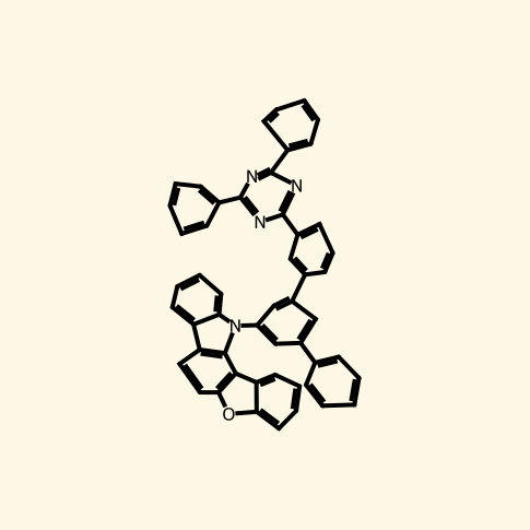 c1ccc(-c2cc(-c3cccc(-c4nc(-c5ccccc5)nc(-c5ccccc5)n4)c3)cc(-n3c4ccccc4c4ccc5oc6ccccc6c5c43)c2)cc1